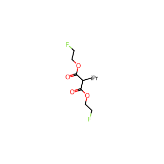 CC(C)C(C(=O)OCCF)C(=O)OCCF